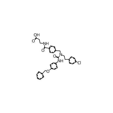 O=C(O)CCNC(=O)c1ccc(CN(CCc2ccc(Cl)cc2)C(=O)Nc2ccc(OCc3ccccc3)cc2)cc1